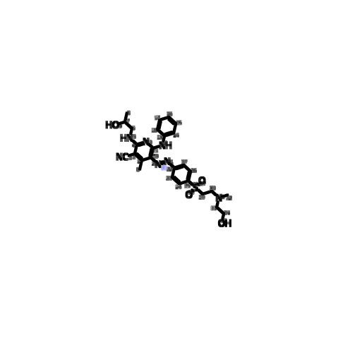 Cc1c(C#N)c(NCC(C)O)nc(Nc2ccccc2)c1/N=N/c1ccc(S(=O)(=O)CCN(C)CCO)cc1